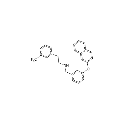 FC(F)(F)c1cccc(CCNCc2cccc(Oc3ccc4ccccc4c3)c2)c1